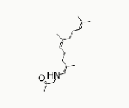 CC(=O)CNC=C(C)CCC=C(C)CCC=C(C)C